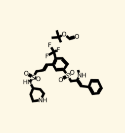 CC(C)(C)OC=O.CNC(=Cc1ccccc1)CS(=O)(=O)c1ccc(C(F)(F)F)c(C=CCS(=O)(=O)NC2CCNCC2)c1